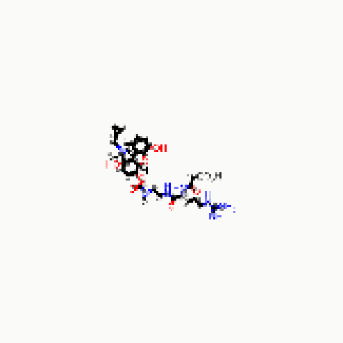 Cc1ccc(O)c2c1[C@]13CCN(CC4CC4)[C@H](C)[C@]1(O)CC=C(OC(=O)N(C)CCNC(=O)[C@@H](CCCNC(=N)N)NC(=O)CC(=O)O)[C@@H]3O2